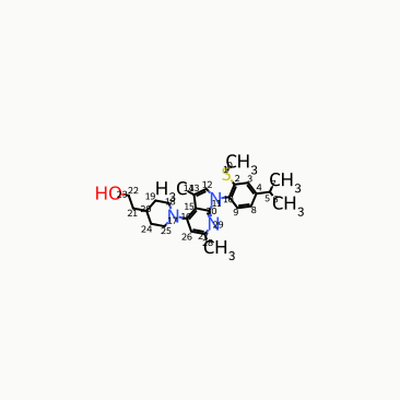 CSc1cc(C(C)C)ccc1-n1cc(C)c2c(N3CCC(CCO)CC3)cc(C)nc21